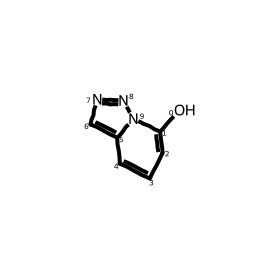 Oc1cccc2cnnn12